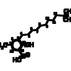 Cc1cc(CCCCCCCCCC(C)C)c(O)c(C(=O)O)c1